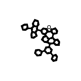 c1ccc(-c2cc(-c3ccccc3)cc(-c3c4ccccc4c(-c4cccc5oc6cc(-c7c8ccccc8c(-c8ccccc8)c8ccccc78)ccc6c45)c4ccccc34)c2)cc1